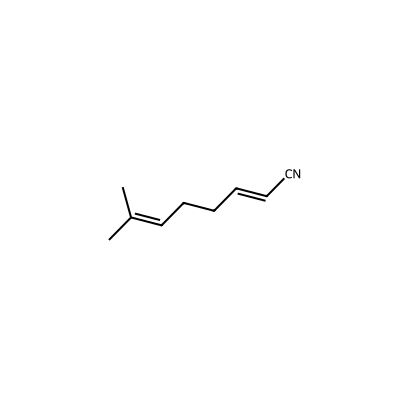 CC(C)=CCC/C=C/C#N